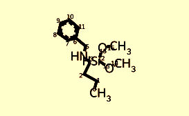 CCCC(NCc1ccccc1)[SiH](OC)OC